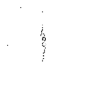 CCCCCCCCC[C@H]1CC[C@H](CO[C@H]2CC[C@H](CCCCC)CC2)CC1